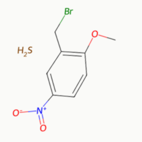 COc1ccc([N+](=O)[O-])cc1CBr.S